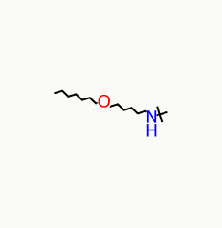 CCCCCCCOCCCCCCNC(C)(C)C